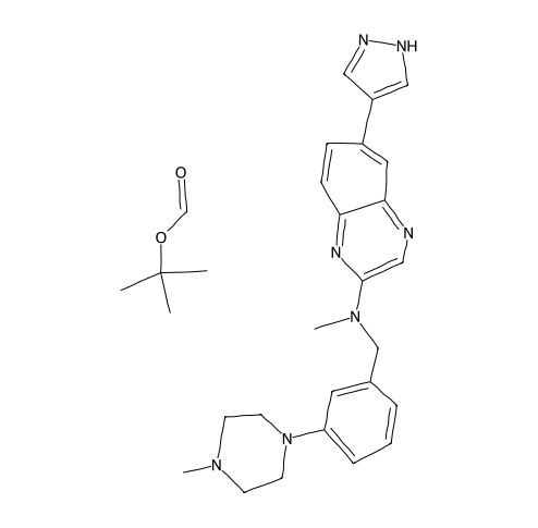 CC(C)(C)OC=O.CN1CCN(c2cccc(CN(C)c3cnc4cc(-c5cn[nH]c5)ccc4n3)c2)CC1